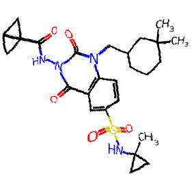 CC1(C)CCCC(Cn2c(=O)n(NC(=O)C34CC3C4)c(=O)c3cc(S(=O)(=O)NC4(C)CC4)ccc32)C1